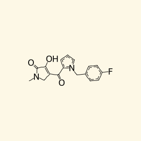 CN1CC(C(=O)c2cccn2Cc2ccc(F)cc2)=C(O)C1=O